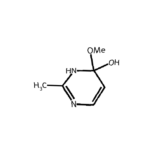 COC1(O)C=CN=C(C)N1